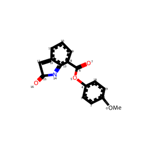 COc1ccc(OC(=O)c2cccc3c2=NC(=O)C=3)cc1